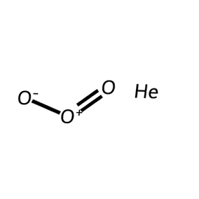 O=[O+][O-].[He]